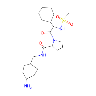 CS(=O)(=O)NC(C(=O)N1CCCC1C(=O)NCC1CCC(N)CC1)C1CCCCC1